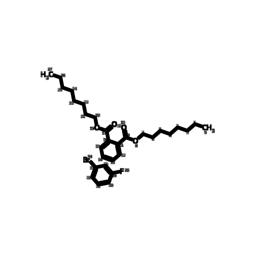 CCCCCCCCOC(=O)c1ccccc1C(=O)OCCCCCCCC.Fc1cccc(Br)c1